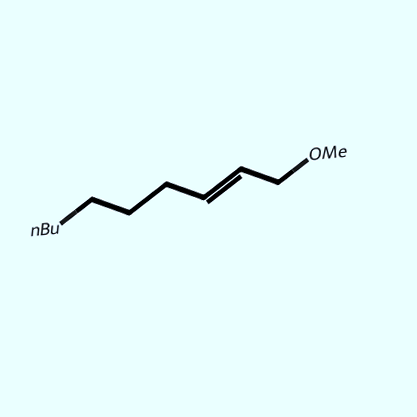 [CH2]OCC=CCCCCCCC